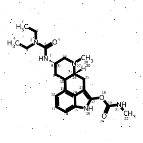 CCN(CC)C(=O)N[C@H]1CC2c3cccc4[nH]c(OC(=O)NC)c(c34)C[C@H]2N(C)C1